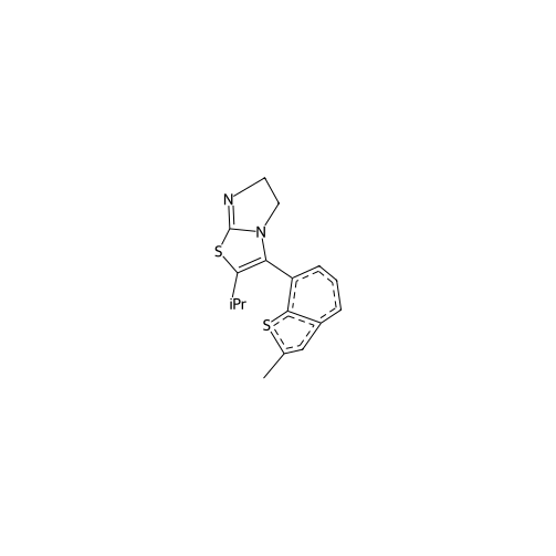 Cc1cc2cccc(C3=C(C(C)C)SC4=NCCN43)c2s1